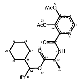 COc1ccnc(C(=O)N[C@@H](C)C(=O)OC(C(C)C)C2CCCCC2)c1OC(C)=O